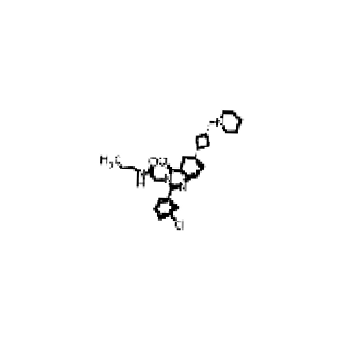 CCCNC(=O)Cn1c(-c2cccc(Cl)c2)nc2ccc([C@H]3C[C@@H](CN4CCCCC4)C3)cc2c1=O